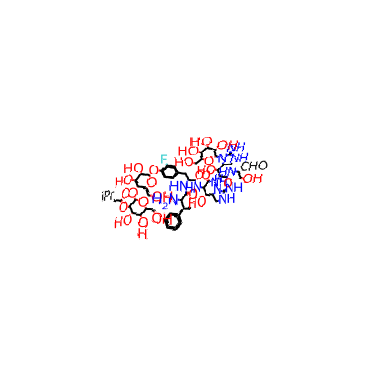 CC(C)CC(=O)OC1C(OC2C(CO)OC(Oc3ccc(CC(NC(=O)C(N)C(C)c4ccccc4)C(=O)NC(C(=O)NC(C(=O)NC([C]=O)CO)C(O)C4CNC(=N)N4C4OC(CO)C(O)C(O)C4O)C(O)C4CNC(=N)N4)cc3F)C(O)C2O)OC(CO)C(O)C1O